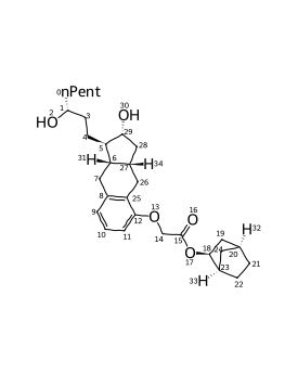 CCCCC[C@@H](O)CC[C@@H]1[C@H]2Cc3cccc(OCC(=O)O[C@H]4C[C@H]5CC[C@@H]4C5)c3C[C@H]2C[C@H]1O